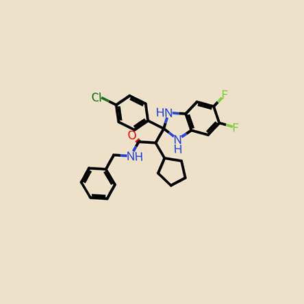 O=C(NCc1ccccc1)C(C1CCCC1)C1(c2ccc(Cl)cc2)Nc2cc(F)c(F)cc2N1